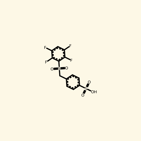 O=S(=O)(O)c1ccc(CS(=O)(=O)c2c(F)c(F)cc(F)c2F)cc1